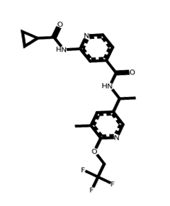 Cc1cc(C(C)NC(=O)c2ccnc(NC(=O)C3CC3)c2)cnc1OCC(F)(F)F